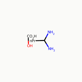 CCCC(N)N.O=C(O)O